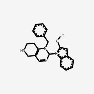 CCOc1cc2ccccc2n1C1N=CC2=C(CCNC2)N1Cc1ccccc1